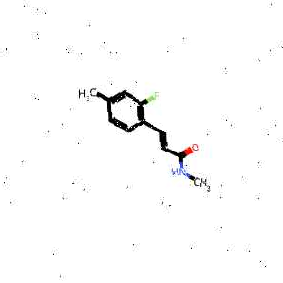 CNC(=O)/C=C/c1ccc(C)cc1F